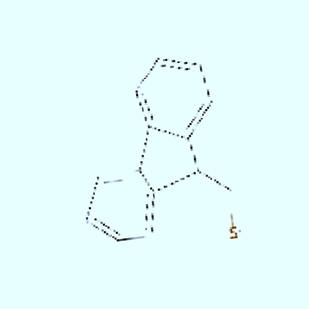 [S]CC1c2ccccc2-c2ccccc21